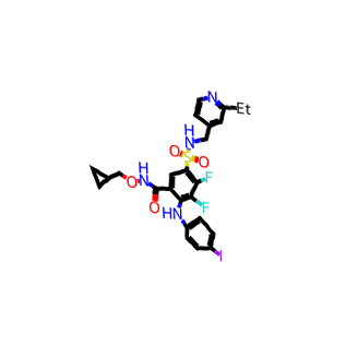 CCc1cc(CNS(=O)(=O)c2cc(C(=O)NOCC3CC3)c(Nc3ccc(I)cc3)c(F)c2F)ccn1